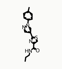 CCCNC(=O)c1csc(-c2cnn(-c3ccc(C)cc3)c2)n1